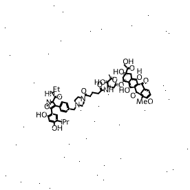 CCNC(=O)c1noc(-c2cc(C(C)C)c(O)cc2O)c1-c1ccc(CN2CCN(C(=O)CCCC(=O)N[C@@H]3C[C@@H](O[C@@H]4C[C@@](O)(C(=O)CO)Cc5c(O)c6c(c(O)c54)C(=O)c4c(OC)cccc4C6=O)O[C@H](C)[C@@H]3O)CC2)cc1